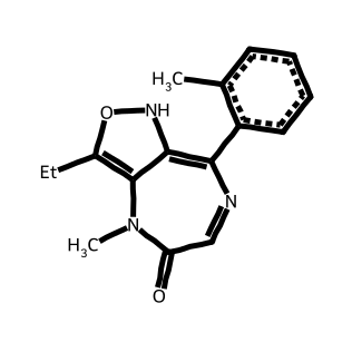 CCC1=C2C(=C(c3ccccc3C)N=CC(=O)N2C)NO1